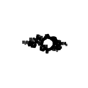 CCn1c(-c2cccnc2[C@H](C)OC)c2c3cc(ccc31)-c1csc(n1)C[C@H](NC(=O)C(C(C)C)N(C)C(=O)N1CCCC3(CN(C)C3)C1)C(=O)N1CCC[C@H](N1)C(=O)OCC(C)(C)C2